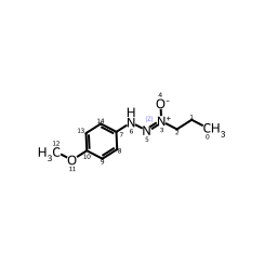 CCC/[N+]([O-])=N/Nc1ccc(OC)cc1